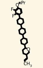 C/C=C/C1CCC(C2CCC(C3CCC(C4CCC(c5ccc(OCCC)c(F)c5F)CC4)CC3)CC2)OC1